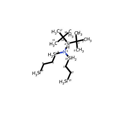 CC(C)(C)[SiH](N([SiH2]CC[SiH3])[SiH2]CC[SiH3])C(C)(C)C